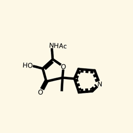 CC(=O)NC1=C(O)C(=O)C(C)(c2ccncc2)O1